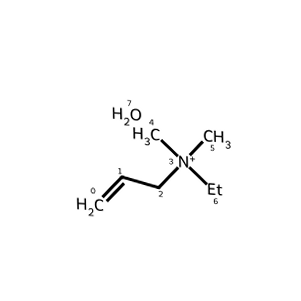 C=CC[N+](C)(C)CC.O